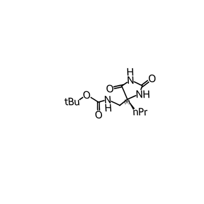 CCC[C@]1(CNC(=O)OC(C)(C)C)NC(=O)NC1=O